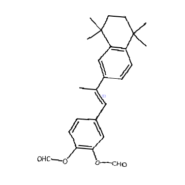 C/C(=C\c1ccc(OC=O)c(OC=O)c1)c1ccc2c(c1)C(C)(C)CCC2(C)C